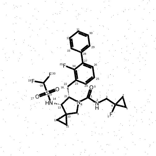 O=C(NCC1(F)CC1)N1CC2(CC2)[C@H](NS(=O)(=O)C(F)F)[C@@H]1Cc1cccc(-c2ccccc2)c1F